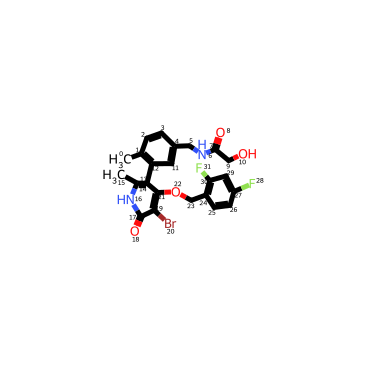 Cc1ccc(CNC(=O)CO)cc1-c1c(C)[nH]c(=O)c(Br)c1OCc1ccc(F)cc1F